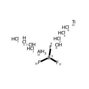 Cl.Cl.Cl.Cl.Cl.Cl.Cl.Cl.FB(F)F.[AlH3].[Ti]